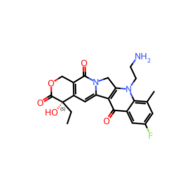 CC[C@@]1(O)C(=O)OCc2c1cc1n(c2=O)Cc2c-1c(=O)c1cc(F)cc(C)c1n2CCN